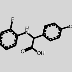 O=C(O)C(Nc1ccccc1F)c1ccc(Cl)cc1